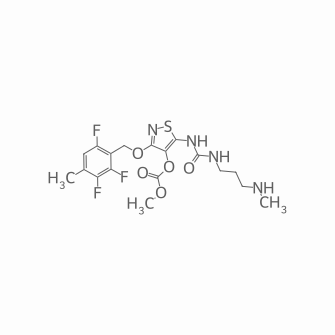 CNCCCNC(=O)Nc1snc(OCc2c(F)cc(C)c(F)c2F)c1OC(=O)OC